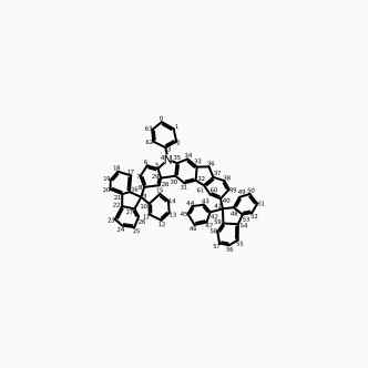 c1ccc(-n2c3ccc(C4(c5ccccc5)c5ccccc5-c5ccccc54)cc3c3cc4c(cc32)Cc2ccc(C3(c5ccccc5)c5ccccc5-c5ccccc53)cc2-4)cc1